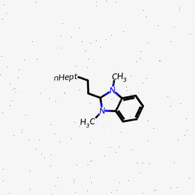 CCCCCCCCCC1N(C)c2ccccc2N1C